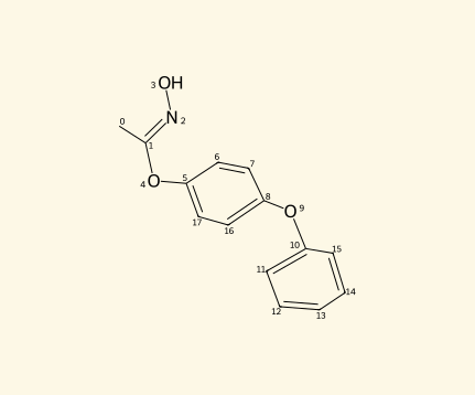 CC(=NO)Oc1ccc(Oc2ccccc2)cc1